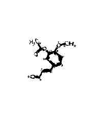 COc1ccc(/C=C/C=O)cc1OC(C)=O